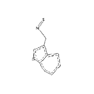 S=NCc1csc2ccccc12